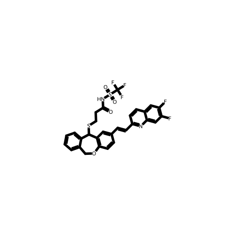 O=C(CCSC1c2ccccc2COc2ccc(C=Cc3ccc4cc(F)c(F)cc4n3)cc21)NS(=O)(=O)C(F)(F)F